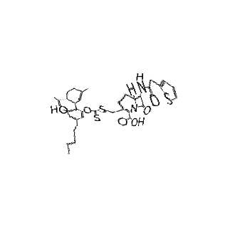 C=C(C)[C@@H]1CCC(C)=C[C@H]1c1c(O)cc(CCCCC)cc1OC(=S)SCC1=C(C(=O)O)N2C(=O)[C@@H](NC(=O)Cc3cccs3)[C@H]2CC1